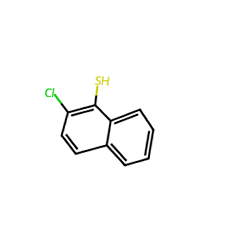 Sc1c(Cl)ccc2ccccc12